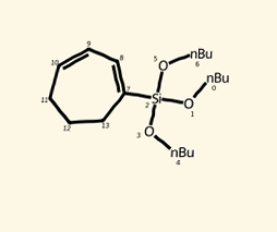 CCCCO[Si](OCCCC)(OCCCC)C1=CC=CCCC1